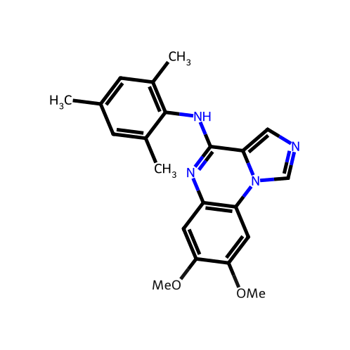 COc1cc2nc(Nc3c(C)cc(C)cc3C)c3cncn3c2cc1OC